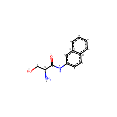 N[C@@H](CO)C(=O)Nc1ccc2ccccc2c1